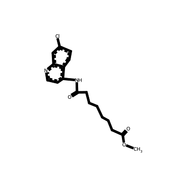 COC(=O)CCCCCCC(=O)Nc1ccnc2cc(Cl)ccc12